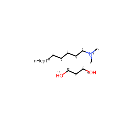 CCCCCCCCCCCCN(C)C.OCCCO